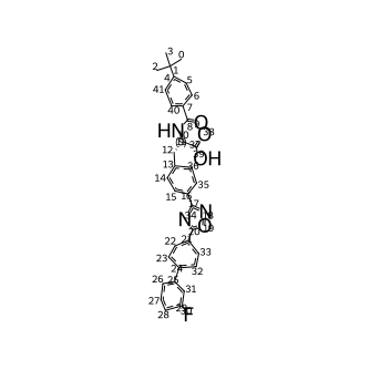 CC(C)(C)c1ccc(C(=O)N[C@@H](Cc2ccc(-c3noc(-c4ccc(-c5cccc(F)c5)cc4)n3)cc2)C(=O)O)cc1